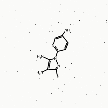 Nc1ccc(-n2nc(F)c(N)c2N)nc1